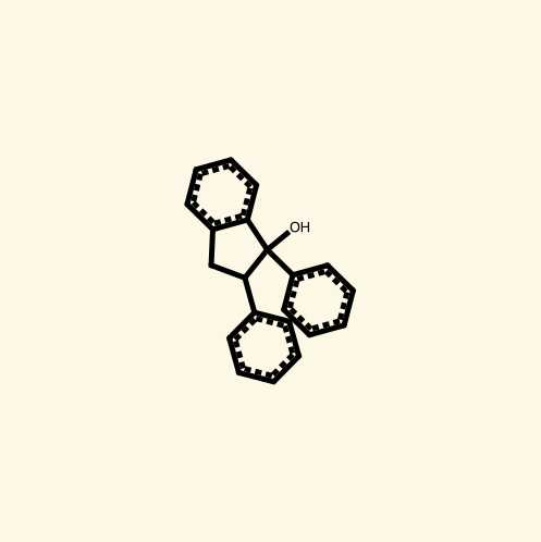 OC1(c2ccccc2)c2ccccc2CC1c1ccccc1